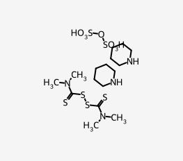 C1CCNCC1.C1CCNCC1.CN(C)C(=S)SSC(=S)N(C)C.O=S(=O)(O)OS(=O)(=O)O